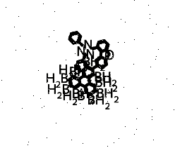 Bc1c(B)c(B)c2c(c1B)c1c(B)c(B)c(B)c(B)c1c1c(B)c(-c3ccc4oc5cccc(-c6nc(-c7ccccc7)nc(-c7ccccc7)n6)c5c4c3)c(B)c(B)c21